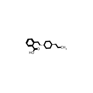 CCC[C@H]1CC[C@H](CCc2ccccc2C(=O)O)CC1